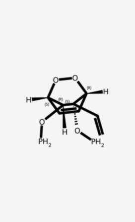 C=C[C@@]1(OP)[C@H](OP)[C@@H]2C=C[C@H]1OO2